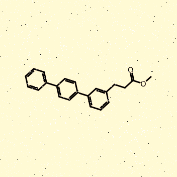 COC(=O)CCc1cccc(-c2ccc(-c3ccccc3)cc2)c1